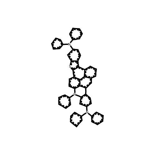 c1ccc(N(c2ccccc2)c2ccc3c(c2)N(c2ccccc2)c2ccc4c5sc6cc(N(c7ccccc7)c7ccccc7)ccc6c5c5cccc6cc-3c2c4c65)cc1